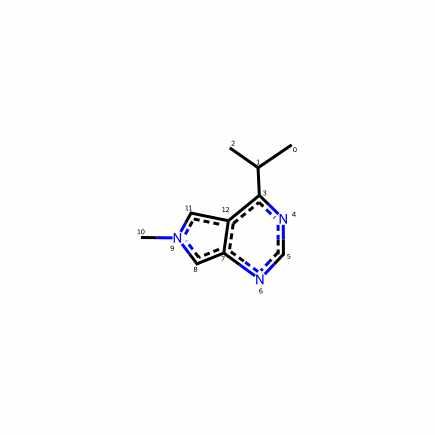 CC(C)c1ncnc2cn(C)cc12